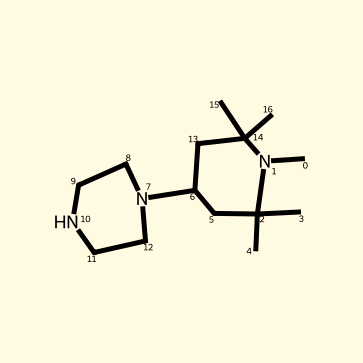 CN1C(C)(C)CC(N2CCNCC2)CC1(C)C